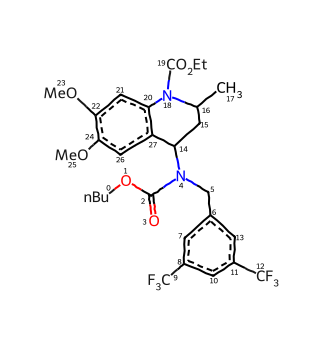 CCCCOC(=O)N(Cc1cc(C(F)(F)F)cc(C(F)(F)F)c1)C1CC(C)N(C(=O)OCC)c2cc(OC)c(OC)cc21